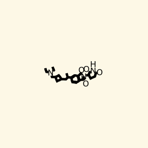 CCN(CC)CC1CC(CC(C)c2ccc3c(c2)C(=O)N(C2CCC(=O)NC2=O)C3=O)C1